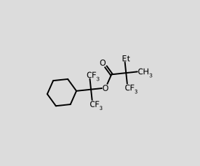 CCC(C)(C(=O)OC(C1CCCCC1)(C(F)(F)F)C(F)(F)F)C(F)(F)F